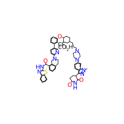 Cn1nc(C2CCC(=O)NC2=O)c2ccc(N3CCN(CCCC4CCC(Oc5cccc(-c6ccc(N7CCc8cccc(C(=O)Nc9nc%10ccccc%10s9)c8C7)nc6C(=O)O)c5C(F)(F)F)CC4)CC3)cc21